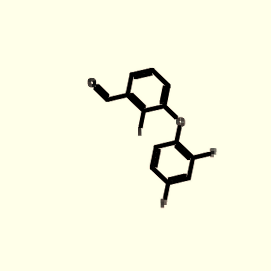 O=Cc1cccc(Oc2ccc(F)cc2F)c1I